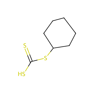 S=C(S)SC1CCCCC1